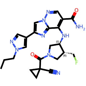 CCCn1cc(-c2cn3ncc(C(N)=O)c(N[C@@H]4CN(C(=O)C5(C#N)CC5)C[C@H]4CF)c3n2)cn1